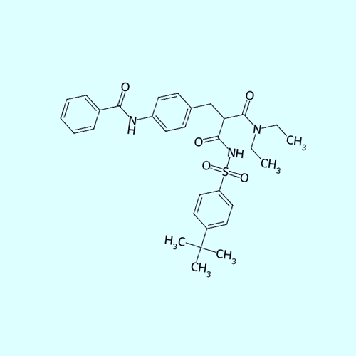 CCN(CC)C(=O)C(Cc1ccc(NC(=O)c2ccccc2)cc1)C(=O)NS(=O)(=O)c1ccc(C(C)(C)C)cc1